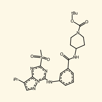 CC(C)c1cnn2c(Nc3cccc(C(=O)NC4CCN(C(=O)OC(C)(C)C)CC4)c3)nc(S(C)(=O)=O)nc12